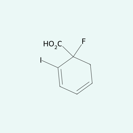 O=C(O)C1(F)CC=CC=C1I